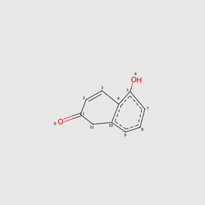 O=C1C=Cc2c(O)cccc2C1